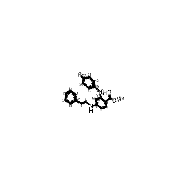 COC(=O)c1ccc(NCCc2ccccc2)cc1Nc1ccc(F)cc1